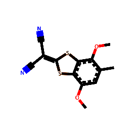 COc1cc(C)c(OC)c2c1SC(=C(C#N)C#N)S2